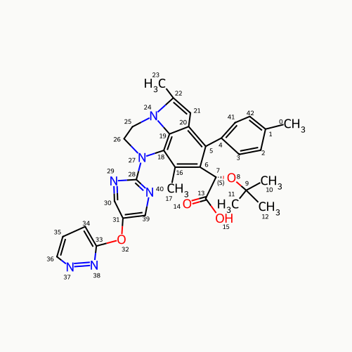 Cc1ccc(-c2c([C@H](OC(C)(C)C)C(=O)O)c(C)c3c4c2cc(C)n4CCN3c2ncc(Oc3cccnn3)cn2)cc1